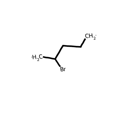 [CH2]CCC([CH2])Br